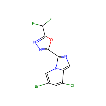 FC(F)c1nnc(-c2ncc3c(Cl)cc(Br)cn23)o1